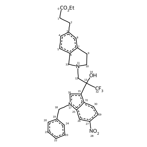 CCOC(=O)CCc1ccc2c(c1)CCN(CC(O)(c1cn(Cc3ccccc3)c3cc([N+](=O)[O-])ccc13)C(F)(F)F)C2